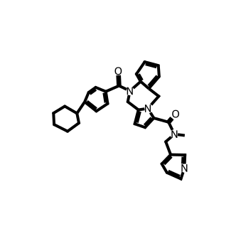 CN(Cc1cccnc1)C(=O)c1ccc2n1Cc1ccccc1N(C(=O)c1ccc(C3CCCCC3)cc1)C2